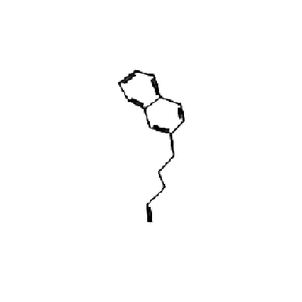 O=CCCCc1ccc2ccccc2c1